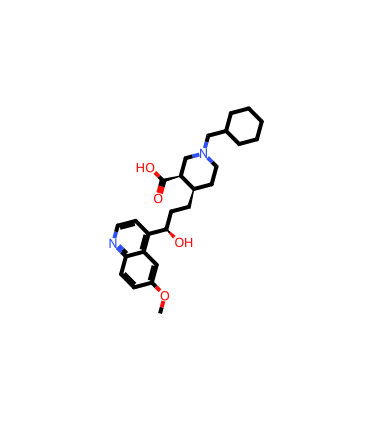 COc1ccc2nccc([C@H](O)CC[C@@H]3CCN(CC4CCCCC4)C[C@@H]3C(=O)O)c2c1